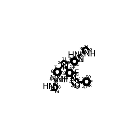 Fc1cc(N2C(c3ccc4nc([C@@H]5CCCN5)[nH]c4c3)CC[C@@H]2c2ccc3nc([C@@H]4CCCN4)[nH]c3c2)cc(F)c1N1CCOC(c2ccccc2)C1